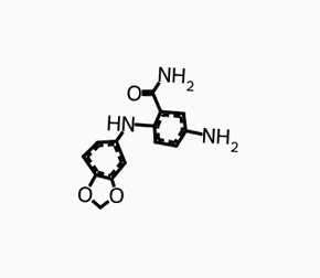 NC(=O)c1cc(N)ccc1Nc1ccc2c(c1)OCO2